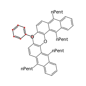 CCCCCc1c2ccccc2c(CCCCC)c2c(Oc3c(Oc4ccccc4)ccc4c(CCCCC)c5ccccc5c(CCCCC)c34)c(Oc3ccccc3)ccc12